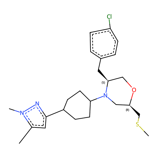 CSC[C@H]1CN(C2CCC(c3cc(C)n(C)n3)CC2)[C@@H](Cc2ccc(Cl)cc2)CO1